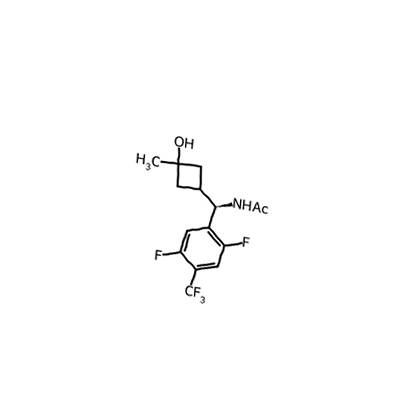 CC(=O)N[C@@H](c1cc(F)c(C(F)(F)F)cc1F)C1CC(C)(O)C1